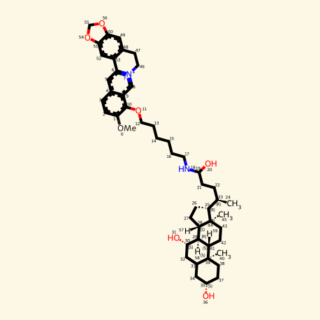 COc1ccc2cc3[n+](cc2c1OCCCCCCNC(O)CC[C@@H](C)[C@H]1CC[C@H]2[C@@H]4[C@@H](O)CC5C[C@@H](O)CC[C@]5(C)[C@H]4CC[C@]12C)CCc1cc2c(cc1-3)OCO2